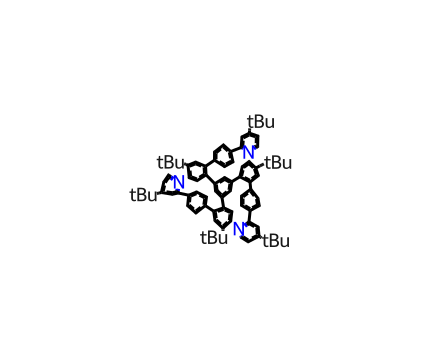 CC(C)(C)c1ccnc(-c2ccc(-c3cc(C(C)(C)C)ccc3-c3cc(-c4ccc(C(C)(C)C)cc4-c4ccc(-c5cc(C(C)(C)C)ccn5)cc4)cc(-c4ccc(C(C)(C)C)cc4-c4ccc(-c5cc(C(C)(C)C)ccn5)cc4)c3)cc2)c1